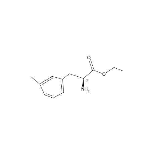 CCOC(=O)[C@@H](N)Cc1cccc(C)c1